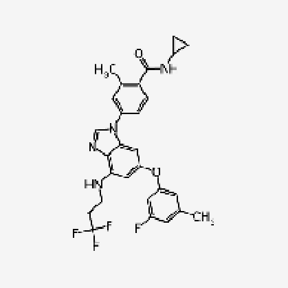 Cc1cc(F)cc(Oc2cc(NCCC(F)(F)F)c3ncn(-c4ccc(C(=O)NC5CC5)c(C)c4)c3c2)c1